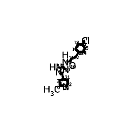 Cc1cc(-c2n[nH]c(NC(=O)CCc3ccc(Cl)cc3)n2)ccn1